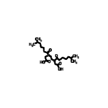 CC(C)CCCCC(=O)N(CCN(CC(=O)O)C(=O)CCCCC(C)C)CC(=O)O